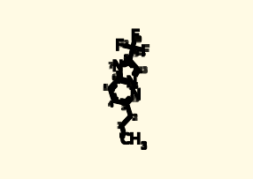 CCCc1ccc2nc(C(F)(F)F)cn2n1